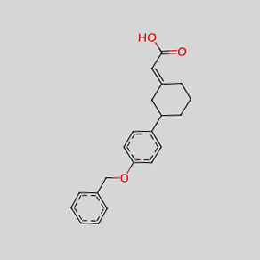 O=C(O)C=C1CCCC(c2ccc(OCc3ccccc3)cc2)C1